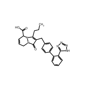 CCCc1c(Cc2ccc(-c3ccccc3-c3nnn[nH]3)cc2)c(=O)n2n1C(C(=O)O)C=CC2